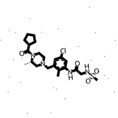 Cc1c(CN2CCN(C(=O)C3CCCC3)[C@@H](C)C2)cc(Cl)cc1NC(=O)CNS(C)(=O)=O